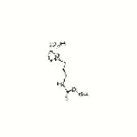 CC(C)(C)OC(=O)NCCCn1cc(C(=O)O)cn1